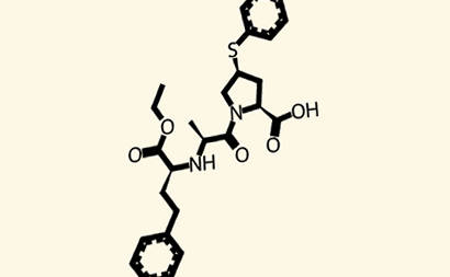 CCOC(=O)[C@H](CCc1ccccc1)N[C@@H](C)C(=O)N1C[C@@H](Sc2ccccc2)C[C@H]1C(=O)O